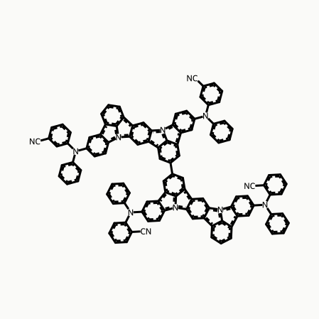 N#Cc1cccc(N(c2ccccc2)c2ccc3c(c2)c2cccc4c5cc6c(cc5n3c24)c2cc(-c3cc4c5cc(N(c7ccccc7)c7ccccc7C#N)ccc5n5c7cc8c9cccc%10c%11cc(N(c%12ccccc%12)c%12ccccc%12C#N)ccc%11n(c8cc7c(c3)c45)c%109)cc3c4cc(N(c5ccccc5)c5cccc(C#N)c5)ccc4n6c32)c1